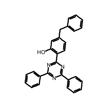 Oc1cc(Cc2ccccc2)ccc1-c1nc(-c2ccccc2)nc(-c2ccccc2)n1